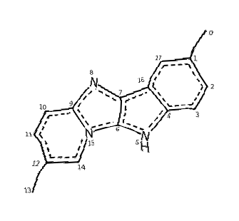 Cc1ccc2[nH]c3c(nc4ccc(C)cn43)c2c1